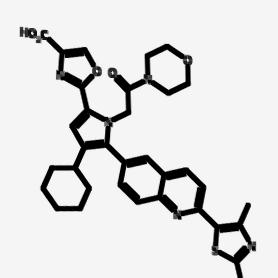 Cc1nc(C)c(-c2ccc3cc(-c4c(C5CCCCC5)cc(-c5nc(C(=O)O)co5)n4CC(=O)N4CCOCC4)ccc3n2)s1